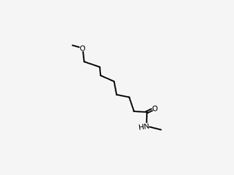 CNC(=O)CCCCCCCOC